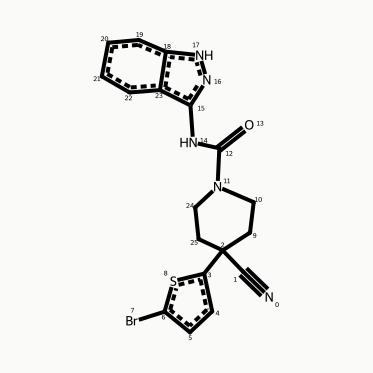 N#CC1(c2ccc(Br)s2)CCN(C(=O)Nc2n[nH]c3ccccc23)CC1